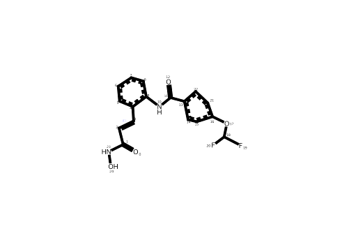 O=C(/C=C/c1ccccc1NC(=O)c1ccc(OC(F)F)cc1)NO